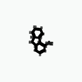 CC(=O)c1cccc2c1-c1ccccc1C2